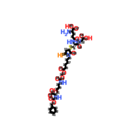 N[C@@H](CCC(=O)N[C@@H](CSC1CC(=P)N(CCCCCC(=O)OCOC(=O)NCCCC[C@H](NC(=O)OCc2ccccc2)C(=O)O)C1=O)C(=O)NCC(=O)O)C(=O)O